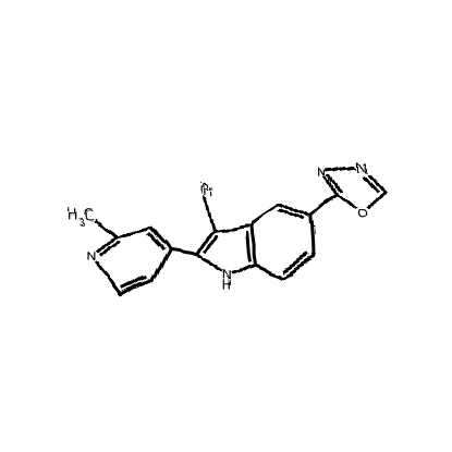 Cc1cc(-c2[nH]c3ccc(-c4nnco4)cc3c2C(C)C)ccn1